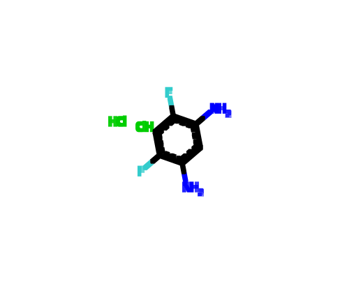 Cl.Cl.Nc1cc(N)c(F)cc1F